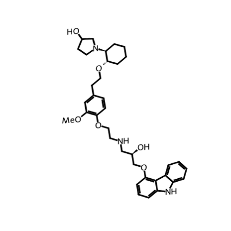 COc1cc(CCO[C@H]2CCCC[C@@H]2N2CCC(O)C2)ccc1OCCNC[C@@H](O)COc1cccc2[nH]c3ccccc3c12